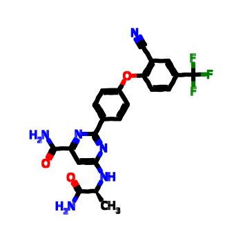 C[C@H](Nc1cc(C(N)=O)nc(-c2ccc(Oc3ccc(C(F)(F)F)cc3C#N)cc2)n1)C(N)=O